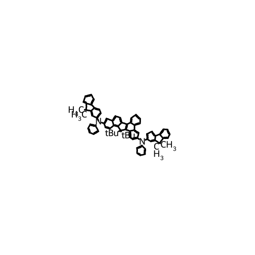 CC1(C)c2ccccc2-c2ccc(N(c3ccccc3)c3ccc4c5c(ccc4c3)-c3c(c4ccc(N(c6ccccc6)c6ccc7c(c6)C(C)(C)c6ccccc6-7)cc4c4ccccc34)C5(C(C)(C)C)C(C)(C)C)cc21